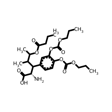 CCCOC(=O)Oc1ccc(C(C(C)C(C)OC(=O)CCC)[C@H](N)C(=O)O)cc1OC(=O)OCCC